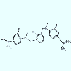 CN(Cc1cccc(CN(C)c2ccc(C(=N)N)cc2F)c1F)c1ccc(C(=N)N)cc1F